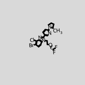 CC1CCCN1c1ccc(-c2nc3c(Cl)c(Br)ccc3n2CCOCC(F)F)cn1